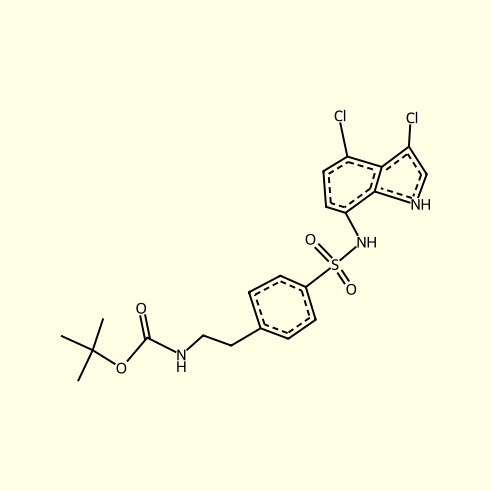 CC(C)(C)OC(=O)NCCc1ccc(S(=O)(=O)Nc2ccc(Cl)c3c(Cl)c[nH]c23)cc1